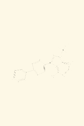 CC(C)(C)n1cc(-c2ccc(-c3ccccc3)cc2)c2c(N)ncnc21